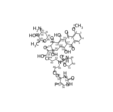 COc1cccc2c1C(=O)c1c(O)c3c(c(O)c1C2=O)C[C@@](O)(C(=O)CO)C[C@@H]3O[C@H]1C[C@H](N)[C@H](O)[C@H](C)O1.O=P1(N(CCCl)CCCl)NCCCO1.O=c1[nH]cc(F)c(=O)[nH]1